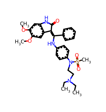 CCN(CC)CCN(c1ccc(N/C(=C2/C(=O)Nc3cc(OC)c(OC)cc32)c2ccccc2)cc1)S(C)(=O)=O